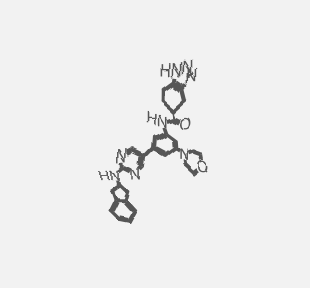 O=C(Nc1cc(-c2cnc(NC3Cc4ccccc4C3)nc2)cc(N2CCOCC2)c1)[C@H]1CCc2[nH]nnc2C1